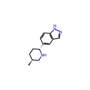 C[C@H]1CC[C@H](c2ccc3[nH]ncc3c2)NC1